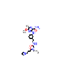 CCOc1nc(Nc2cccc(CCNC(=O)CN(C)C(=O)C=CCN3CCC3)c2)c(C(N)=O)nc1CC